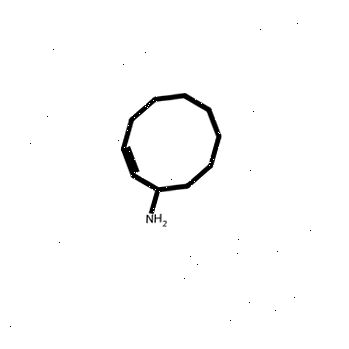 NC1/C=C\CCCCCCC1